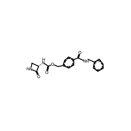 O=C(N[C@H]1CNC1=O)OCc1ccc(C(=O)NCc2ccccc2)cc1